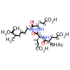 C=C(C)[C@@H](C)CCCCNC(=O)[C@H](CCC(=O)O)NC(=O)[C@H](CCC(=O)O)NC(=O)[C@H](CCC(=O)O)NC(C)=O